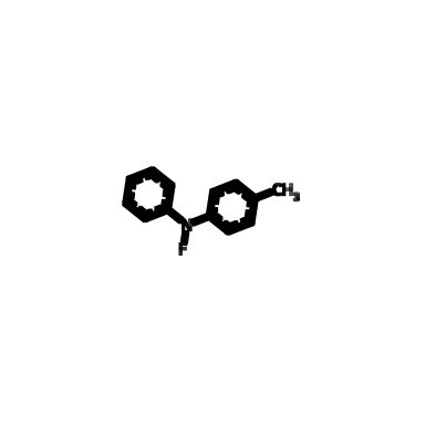 Cc1ccc(N(F)c2ccccc2)cc1